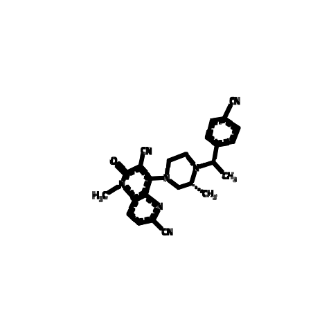 CC(c1ccc(C#N)cc1)N1CCN(c2c(C#N)c(=O)n(C)c3ccc(C#N)nc23)C[C@H]1C